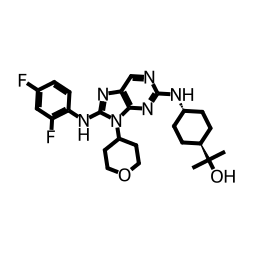 CC(C)(O)[C@H]1CC[C@H](Nc2ncc3nc(Nc4ccc(F)cc4F)n(C4CCOCC4)c3n2)CC1